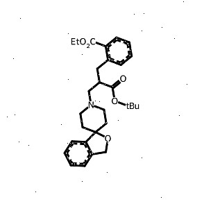 CCOC(=O)c1ccccc1CC(CN1CCC2(CC1)OCc1ccccc12)C(=O)OC(C)(C)C